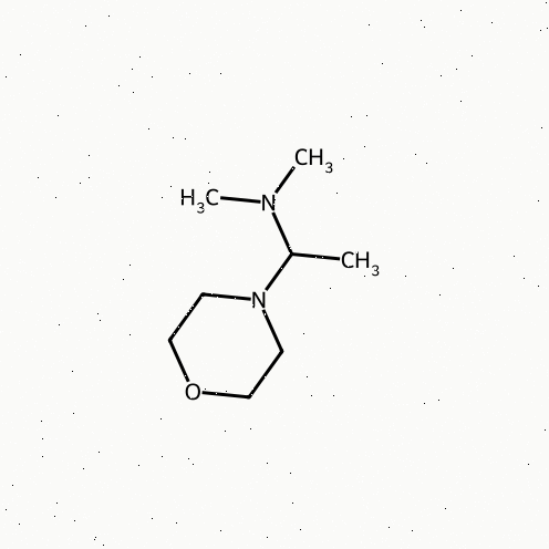 CC(N(C)C)N1CCOCC1